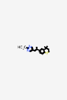 CC(=Cc1cnc(C(=O)O)nc1)c1ccc2c(c1)C(C)(C)CCS2